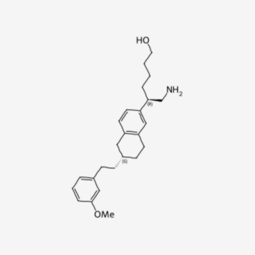 COc1cccc(CC[C@H]2CCc3cc([C@H](CN)CCCCO)ccc3C2)c1